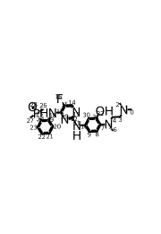 CN(C)CCN(C)c1ccc(Nc2ncc(F)c(Nc3ccccc3P(C)(C)=O)n2)cc1O